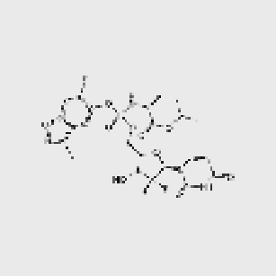 C=C1NC(=O)C=CN1[C@@H]1O[C@H](COP(=O)(N[C@@H](C)C(=O)OC(C)C)Oc2cc3c(C)noc3cc2F)[C@@H](O)[C@@]1(C)F